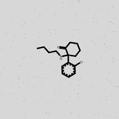 CCCCNC1(c2ccccc2Cl)CCCCC1=O